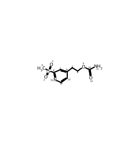 CS(=O)(=O)c1cc([CH]COC(N)=O)ccn1